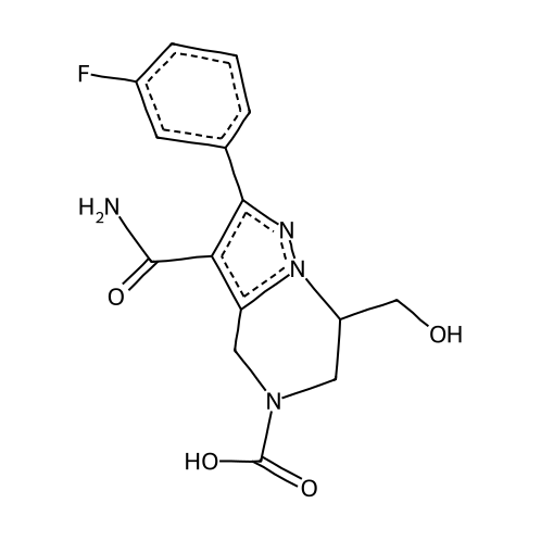 NC(=O)c1c(-c2cccc(F)c2)nn2c1CN(C(=O)O)CC2CO